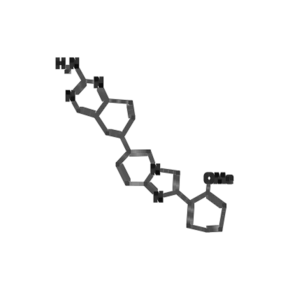 COc1ccccc1-c1cn2cc(-c3ccc4nc(N)ncc4c3)ccc2n1